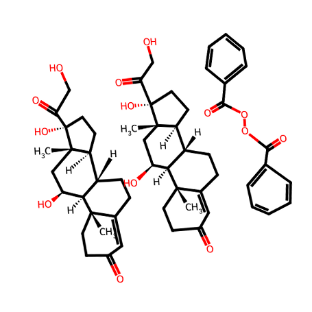 C[C@]12CCC(=O)C=C1CC[C@@H]1[C@@H]2[C@@H](O)C[C@@]2(C)[C@H]1CC[C@]2(O)C(=O)CO.C[C@]12CCC(=O)C=C1CC[C@@H]1[C@@H]2[C@@H](O)C[C@@]2(C)[C@H]1CC[C@]2(O)C(=O)CO.O=C(OOC(=O)c1ccccc1)c1ccccc1